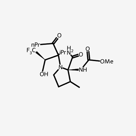 CCCC(=O)[C@](C(C)C)([C@@H](O)C(F)(F)F)N1CCC(C)[C@@]1(NC(=O)OC)C(N)=O